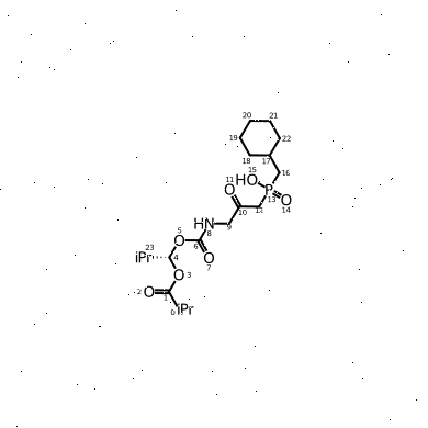 CC(C)C(=O)O[C@@H](OC(=O)NCC(=O)CP(=O)(O)CC1CCCCC1)C(C)C